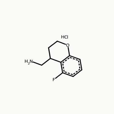 Cl.NCC1CCOc2cccc(F)c21